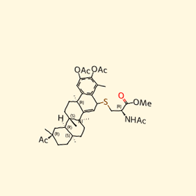 COC(=O)[C@H](CSC1C=C2[C@@](C)(CC[C@@]3(C)[C@@H]4C[C@](C)(C(C)=O)CC[C@]4(C)CC[C@]23C)c2cc(OC(C)=O)c(OC(C)=O)c(C)c21)NC(C)=O